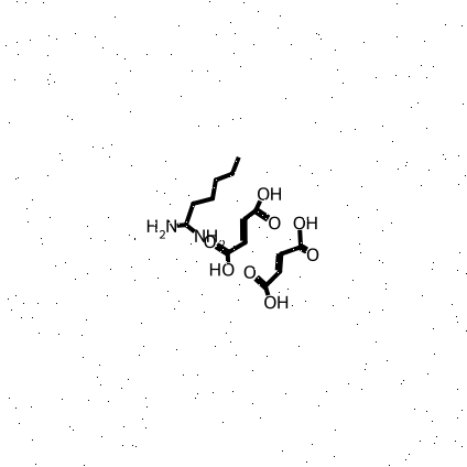 CCCCCC(N)N.O=C(O)C=CC(=O)O.O=C(O)C=CC(=O)O